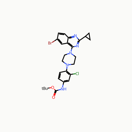 CC(C)(C)OC(=O)Nc1ccc(N2CCN(c3nc(C4CC4)nc4ccc(Br)cc34)CC2)c(Cl)c1